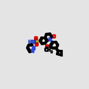 COC1=C(n2c(=O)ccc3cc(S(=O)(=O)Nc4cccnn4)ccc32)CCC(C2CCC2)=C1